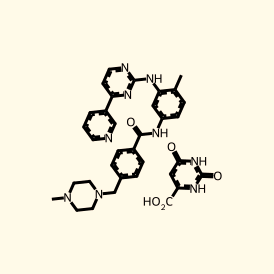 Cc1ccc(NC(=O)c2ccc(CN3CCN(C)CC3)cc2)cc1Nc1nccc(-c2cccnc2)n1.O=C(O)c1cc(=O)[nH]c(=O)[nH]1